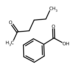 CCCCC(C)=O.O=C(O)c1ccccc1